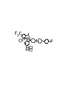 CC(CNC1(c2ccccc2)CCC(N2CCC(c3ccc(F)cc3)CC2)CC1)c1cc(C(F)(F)F)cc(C(F)(F)F)c1.Cl.Cl